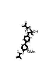 C=C(C)C(=O)Oc1ccc(-c2ccc(C(OC(=O)C(=C)C)C(C)(C)O)cc2)cc1OC